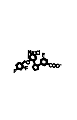 O=C([O-])c1cc(F)cc(C2=C(c3cc(Cl)cnc3OCc3ccc(F)cc3F)CCC2)c1.[Na+]